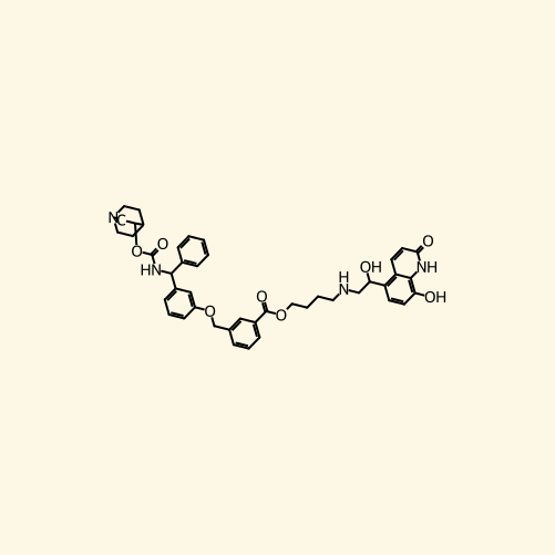 O=C(NC(c1ccccc1)c1cccc(OCc2cccc(C(=O)OCCCCNCC(O)c3ccc(O)c4[nH]c(=O)ccc34)c2)c1)OC1CN2CCC1CC2